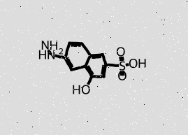 NNc1ccc2cc(S(=O)(=O)O)cc(O)c2c1